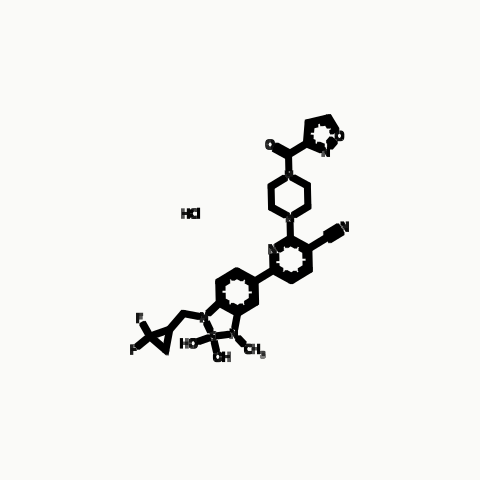 CN1c2cc(-c3ccc(C#N)c(N4CCN(C(=O)c5ccon5)CC4)n3)ccc2N(CC2CC2(F)F)S1(O)O.Cl